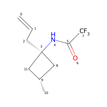 C=CC[C@]1(NC(=O)C(F)(F)F)C[C@H](C)C1